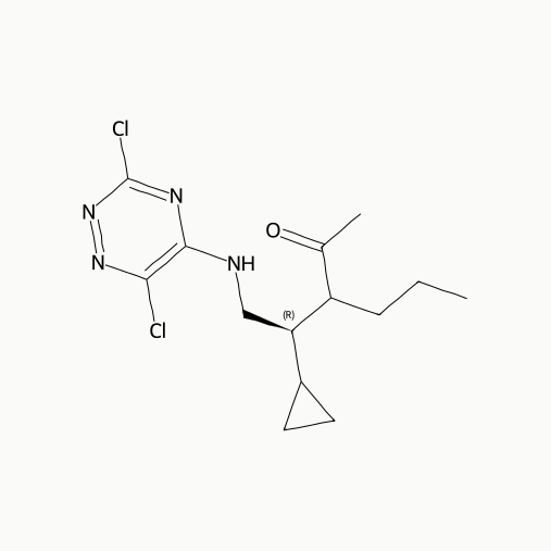 CCCC(C(C)=O)[C@H](CNc1nc(Cl)nnc1Cl)C1CC1